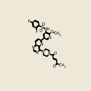 COc1ncc(-c2ccc3ncnc(N4CCN(C(=O)/C=C/C(C)=O)CC4)c3n2)cc1NS(=O)(=O)c1ccc(F)cc1F